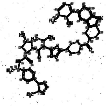 Cc1ncsc1-c1ccc([C@H](C)NC(=O)[C@@H]2C[C@@H](O)CN2C(=O)[C@@H](c2cc(C3CCN(C(=O)N4CCc5[nH]c6nnc(C7=CC=CC(C)C7O)cc6c5C4)CC3)no2)C(C)C)cc1